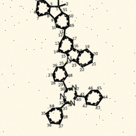 CC1(C)c2ccccc2-c2cc(-c3ccc4c(c3)c3ccccc3n4-c3cccc(-c4nc(-c5ccccc5)nc(-c5ccccc5)n4)c3)ccc21